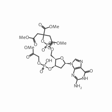 COC(=O)COP(=O)(O)O[C@@H]1C[C@H](n2cnc3c(=O)[nH]c(N)nc32)O[C@@H]1COP(=O)(O)OC(CC(=O)OC)(CC(=O)OC)C(=O)OC